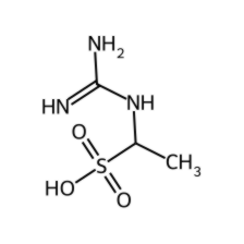 CC(NC(=N)N)S(=O)(=O)O